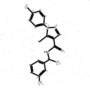 Cc1c(C(=O)NC(c2cccc(C(F)(F)F)c2)C(F)(F)F)cnn1-c1ccc(Cl)cc1